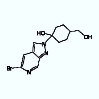 OCC1CCC(O)(n2cc3cc(Br)ncc3n2)CC1